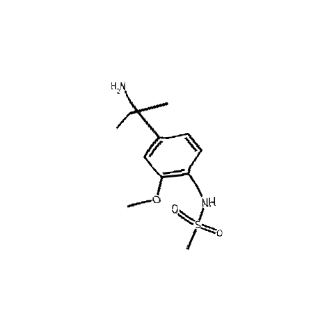 COc1cc(C(C)(C)N)ccc1NS(C)(=O)=O